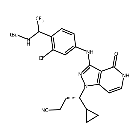 CC(C)(C)NC(c1ccc(Nc2nn([C@@H](CCC#N)C3CC3)c3cc[nH]c(=O)c23)cc1Cl)C(F)(F)F